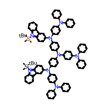 CC(C)(C)[Si](C)(C)n1c2ccccc2c2cc(N(c3ccc(N(c4ccccc4)c4ccccc4)cc3)c3ccc(N(c4ccc(N(c5ccccc5)c5ccccc5)cc4)c4ccc(N(c5ccc(N(c6ccccc6)c6ccccc6)cc5)c5ccc6c(c5)c5ccccc5n6S(C)(C)C(C)(C)C)cc4)cc3)ccc21